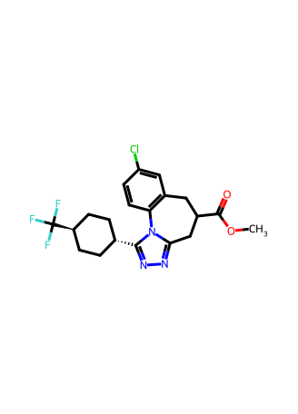 COC(=O)C1Cc2cc(Cl)ccc2-n2c(nnc2[C@H]2CC[C@H](C(F)(F)F)CC2)C1